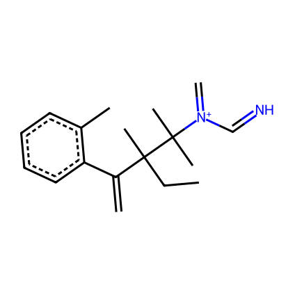 C=C(c1ccccc1C)C(C)(CC)C(C)(C)[N+](=C)C=N